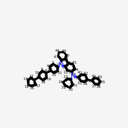 C1=c2c(n(-c3ccc(-c4ccc(-c5ccccc5)cc4)cc3)c3cc(N(c4ccccc4)c4ccc(-c5ccccc5)cc4)ccc23)=CCC1